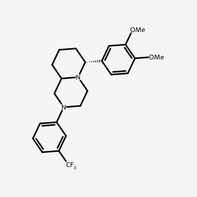 COc1ccc([C@H]2CCCC3CN(c4cccc(C(F)(F)F)c4)CCN32)cc1OC